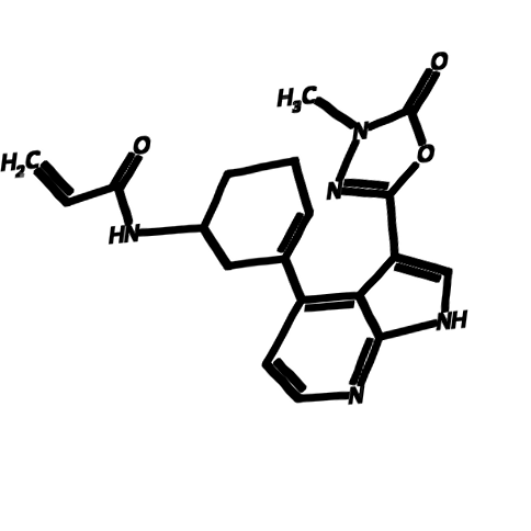 C=CC(=O)NC1CCC=C(c2ccnc3[nH]cc(-c4nn(C)c(=O)o4)c23)C1